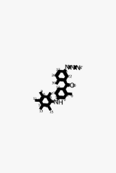 Cc1cc(Nc2c(C)c(C)c(C)c(C)c2C)ccc1C(=O)c1cc(N=[N+]=[N-])ccc1C